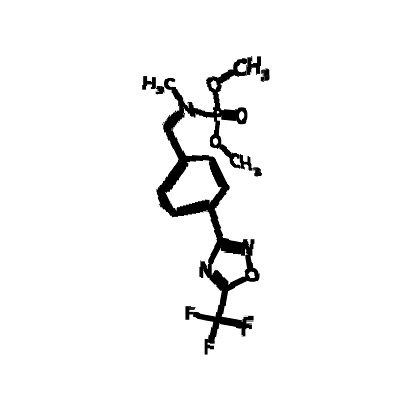 COP(=O)(OC)N(C)Cc1ccc(-c2noc(C(F)(F)F)n2)cc1